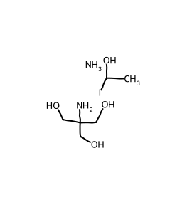 CC(O)I.N.NC(CO)(CO)CO